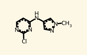 Cn1cc(Nc2ccnc(Cl)n2)cn1